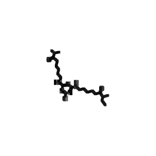 CCC(C)C(=O)CCCCCNc1nc(Cl)nc(NCCCCCC(=O)C(C)C)n1